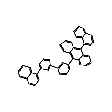 c1cc(-c2cccc(-c3c4ccccc4c(-c4cccc5ccccc45)c4ccccc34)c2)cc(-c2cccc3ccccc23)c1